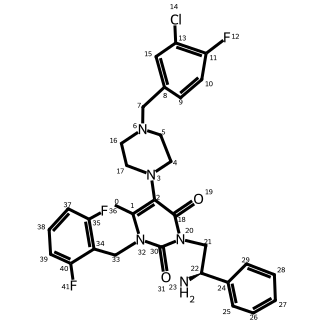 Cc1c(N2CCN(Cc3ccc(F)c(Cl)c3)CC2)c(=O)n(C[C@H](N)c2ccccc2)c(=O)n1Cc1c(F)cccc1F